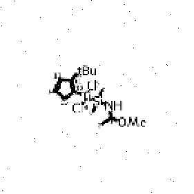 COC(C)N[Si](C)(C)[Ti]([Cl])([Cl])[C]1=C(C(C)(C)C)C=CC1